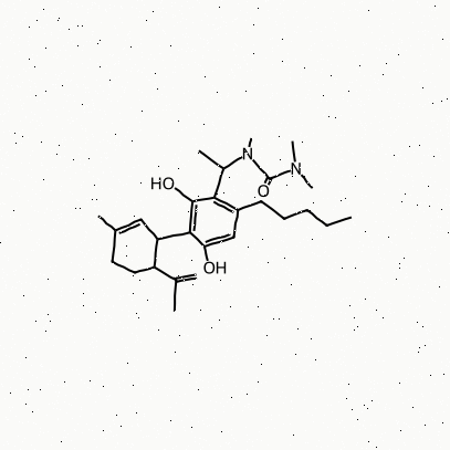 C=C(C)C1CCC(C)=CC1c1c(O)cc(CCCCC)c(C(C)N(C)C(=O)N(C)C)c1O